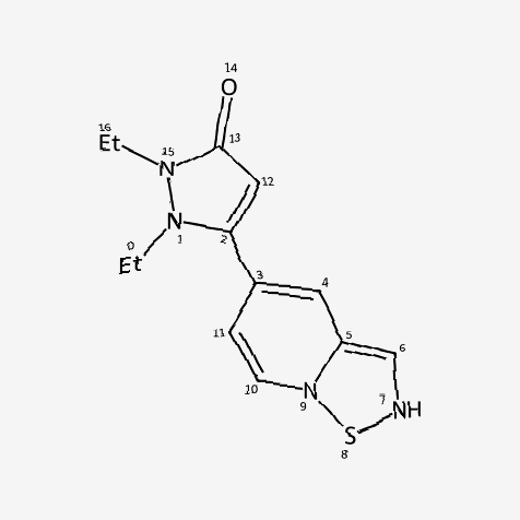 CCn1c(C2=CC3=CNSN3C=C2)cc(=O)n1CC